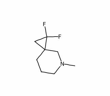 CN1CCCC2(C1)CC2(F)F